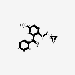 Cc1ccc(OC[C@@H]2CO2)c(C(=O)c2ccccc2)c1